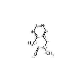 Cc1ncncc1CN(C)C=O